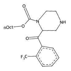 CCCCCCCCOC(=O)N1CCNCC1C(=O)c1ccccc1C(F)(F)F